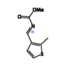 COC(=O)/N=C/c1ccsc1C